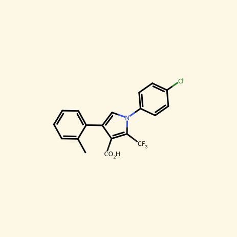 Cc1ccccc1-c1cn(-c2ccc(Cl)cc2)c(C(F)(F)F)c1C(=O)O